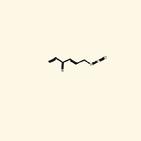 C=CC(=O)C=CCN=C=O